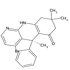 CC1(C)CC(=O)C2=C(C1)Nc1nccc(Br)c1[C@]2(C)c1ccccc1